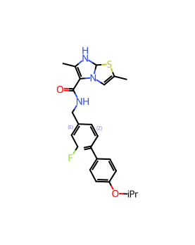 C=C(/C=C\C(=C/CF)CNC(=O)C1=C(C)NC2SC(C)=CN12)c1ccc(OC(C)C)cc1